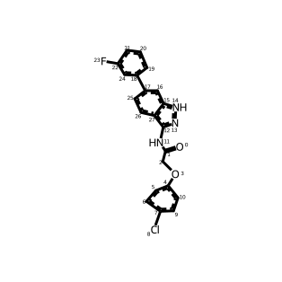 O=C(COc1ccc(Cl)cc1)Nc1n[nH]c2cc(-c3cccc(F)c3)ccc12